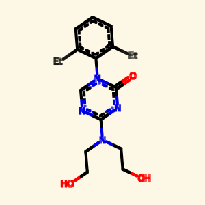 CCc1cccc(CC)c1-n1cnc(N(CCO)CCO)nc1=O